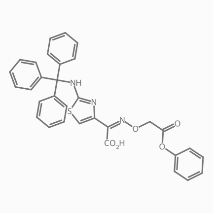 O=C(CON=C(C(=O)O)c1csc(NC(c2ccccc2)(c2ccccc2)c2ccccc2)n1)Oc1ccccc1